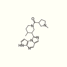 CC1CCN(C(=O)C2CCN(C)C2)CC1c1ncc2cnc3[nH]ccc3n12